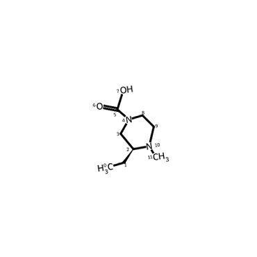 CC[C@H]1CN(C(=O)O)CCN1C